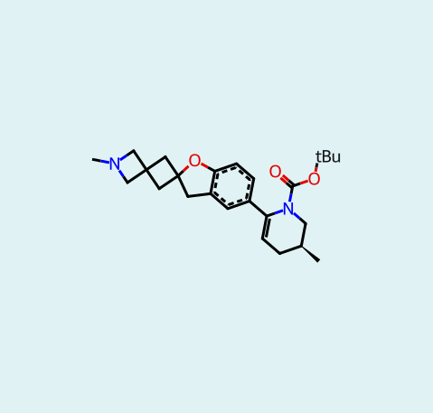 C[C@H]1CC=C(c2ccc3c(c2)CC2(CC4(CN(C)C4)C2)O3)N(C(=O)OC(C)(C)C)C1